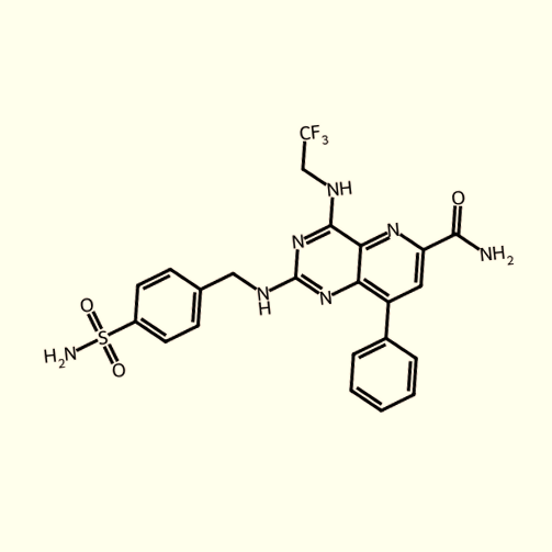 NC(=O)c1cc(-c2ccccc2)c2nc(NCc3ccc(S(N)(=O)=O)cc3)nc(NCC(F)(F)F)c2n1